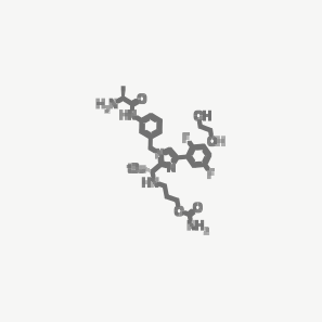 C[C@H](N)C(=O)Nc1cccc(Cn2cc(-c3cc(F)ccc3F)nc2[C@H](NCCCOC(N)=O)C(C)(C)C)c1.OCCO